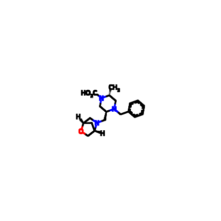 C[C@@H]1CN(Cc2ccccc2)[C@@H](CN2C[C@@H]3C[C@H]2CO3)CN1C(=O)O